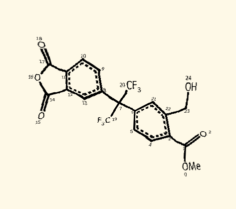 COC(=O)c1ccc(C(c2ccc3c(c2)C(=O)OC3=O)(C(F)(F)F)C(F)(F)F)cc1CO